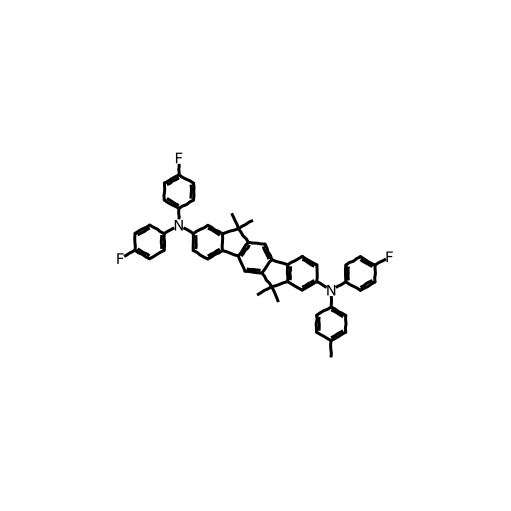 Cc1ccc(N(c2ccc(F)cc2)c2ccc3c(c2)C(C)(C)c2cc4c(cc2-3)C(C)(C)c2cc(N(c3ccc(F)cc3)c3ccc(F)cc3)ccc2-4)cc1